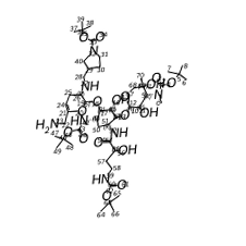 CN(C(=O)OC(C)(C)C)[C@@H]1[C@@H](O)[C@@H](O[C@@H]2[C@@H](O)[C@H](O[C@H]3OC(CN)=CC[C@H]3NCC3CCN(C(=O)OC(C)(C)C)C3)[C@@H](NC(=O)OC(C)(C)C)C[C@H]2NC(=O)[C@@H](O)CCNC(=O)OC(C)(C)C)OC[C@]1(C)O